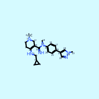 CC(=O)N1CCC(NCC2CC2)=C(C(=N)N(C)c2ccc(-c3cnn(C)c3)cc2)C1